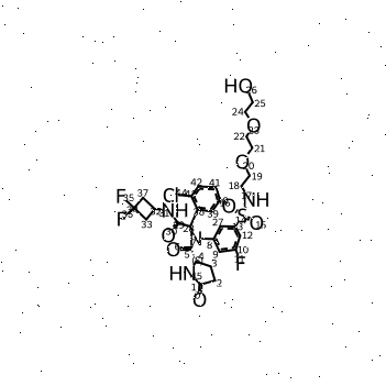 O=C1CC[C@@H](C(=O)N(c2cc(F)cc(S(=O)(=O)NCCOCCOCCO)c2)C(C(=O)NC2CC(F)(F)C2)c2ccccc2Cl)N1